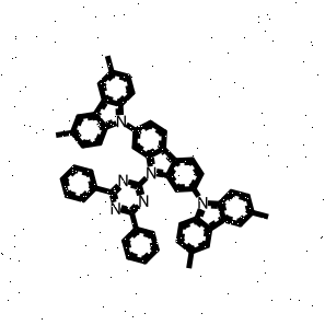 Cc1ccc2c(c1)c1cc(C)ccc1n2-c1ccc2c3ccc(-n4c5ccc(C)cc5c5cc(C)ccc54)cc3n(-c3nc(-c4ccccc4)nc(-c4ccccc4)n3)c2c1